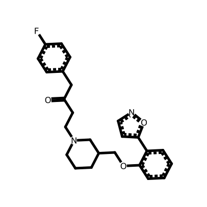 O=C(CCN1CCCC(COc2ccccc2-c2ccno2)C1)Cc1ccc(F)cc1